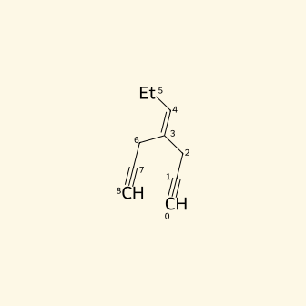 C#CCC(=CC[CH2])CC#C